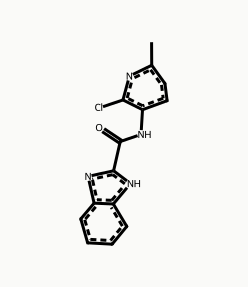 Cc1ccc(NC(=O)c2nc3ccccc3[nH]2)c(Cl)n1